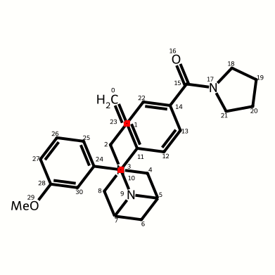 C=CCN1CC2CC(C1)N2C(c1ccc(C(=O)N2CCCC2)cc1)c1cccc(OC)c1